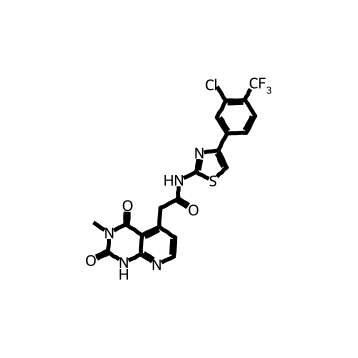 Cn1c(=O)[nH]c2nccc(CC(=O)Nc3nc(-c4ccc(C(F)(F)F)c(Cl)c4)cs3)c2c1=O